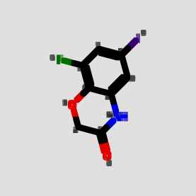 O=C1COc2c(F)cc(I)cc2N1